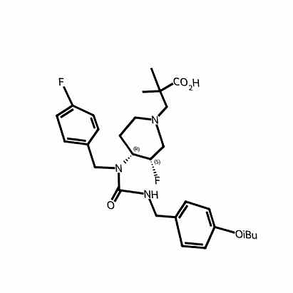 CC(C)COc1ccc(CNC(=O)N(Cc2ccc(F)cc2)[C@@H]2CCN(CC(C)(C)C(=O)O)C[C@@H]2F)cc1